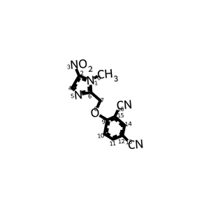 Cn1c([N+](=O)[O-])cnc1COc1ccc(C#N)cc1C#N